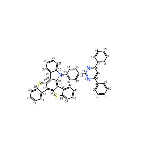 c1ccc(-c2cc(-c3ccccc3)nc(-c3ccc(-n4c5ccccc5c5c6sc7ccccc7c6c6sc7ccccc7c6c54)cc3)n2)cc1